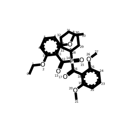 CCOc1cccc(OCC)c1C(=O)P(=O)(C(=O)c1c(OC)cccc1OC)C1CCCCC1